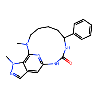 CN1CCCCC(c2ccccc2)NC(=O)Nc2cc3cnn(C)c3c1n2